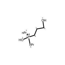 CCC[PH](O)(CCC)CCCO